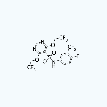 O=S(=O)(Nc1ccc(F)c(C(F)(F)F)c1)c1c(OCC(F)(F)F)ncnc1OCC(F)(F)F